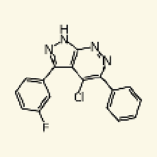 Fc1cccc(-c2n[nH]c3nnc(-c4ccccc4)c(Cl)c23)c1